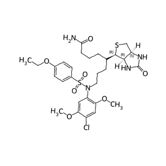 CCOc1ccc(S(=O)(=O)N(CCCC(CCCC(N)=O)[C@H]2SC[C@H]3NC(=O)N[C@@H]23)c2cc(OC)c(Cl)cc2OC)cc1